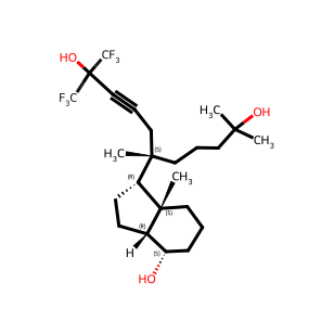 CC(C)(O)CCC[C@@](C)(CC#CC(O)(C(F)(F)F)C(F)(F)F)[C@H]1CC[C@H]2[C@@H](O)CCC[C@@]12C